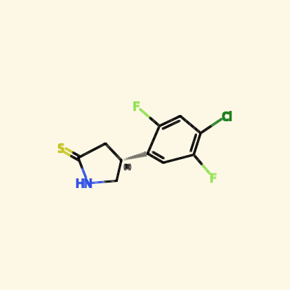 Fc1cc([C@@H]2CNC(=S)C2)c(F)cc1Cl